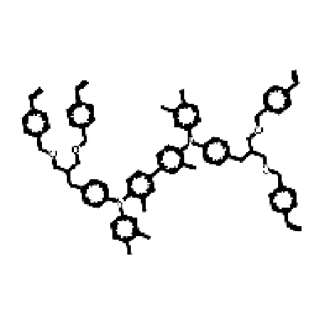 C=Cc1ccc(COCC(COCc2ccc(C=C)cc2)Cc2ccc(N(c3ccc(C)c(C)c3)c3ccc(-c4ccc(N(c5ccc(CC(COCc6ccc(C=C)cc6)COCc6ccc(C=C)cc6)cc5)c5ccc(C)c(C)c5)c(C)c4)cc3C)cc2)cc1